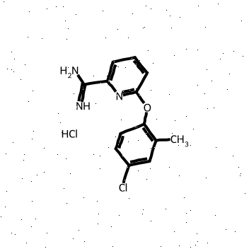 Cc1cc(Cl)ccc1Oc1cccc(C(=N)N)n1.Cl